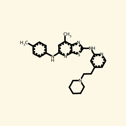 Cc1ccc(Nc2cc(C)c3nc(Nc4cc(CCN5CCCCC5)ccn4)sc3n2)cc1